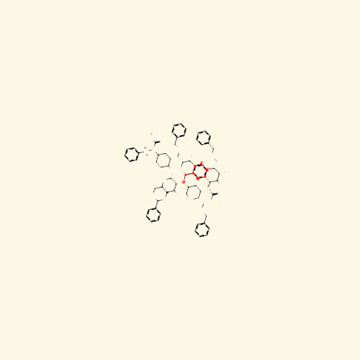 COC(=O)N(C1CCC(O[C@@H]2OC3COC(c4ccccc4)O[C@H]3C(O[C@H]3O[C@@H](COCc4ccccc4)[C@@H](C)C(C)C3O[C@H]3O[C@@H](COCc4ccccc4)[C@@H](C)C(C)C3O[C@H]3O[C@@H](COCc4ccccc4)[C@@H](C)C(C)C3OC(C)=O)[C@H]2OCc2ccccc2)CC1)S(=O)(=O)c1ccccc1